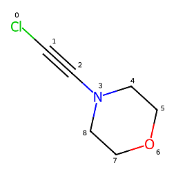 ClC#CN1CCOCC1